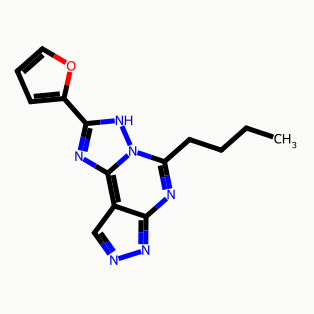 CCCCc1nc2nncc-2c2nc(-c3ccco3)[nH]n12